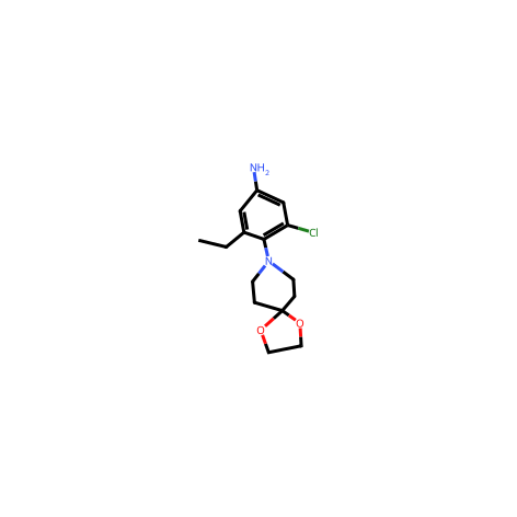 CCc1cc(N)cc(Cl)c1N1CCC2(CC1)OCCO2